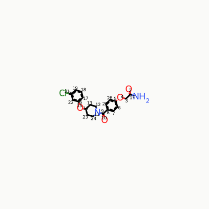 NC(=O)COc1ccc(C(=O)N2CCC(Oc3cccc(Cl)c3)CC2)cc1